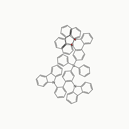 c1ccc([Si](c2ccccc2)(c2ccc(-c3ccccc3-n3c4ccccc4c4ccccc43)c(-n3c4ccccc4c4ccccc43)c2)c2ccc(-c3ccccc3-n3c4ccccc4c4ccccc43)c(-n3c4ccccc4c4ccccc43)c2)cc1